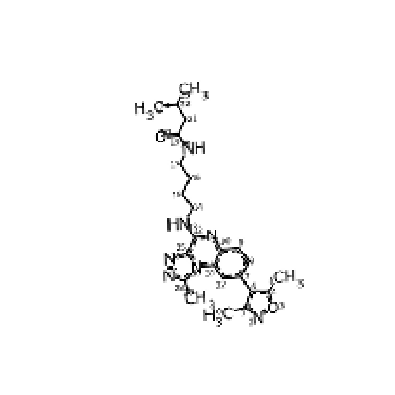 Cc1noc(C)c1-c1ccc2nc(NCCCCNC(=O)CC(C)C)c3nnc(C)n3c2c1